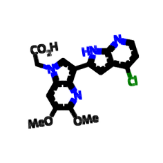 COc1cc2c(nc1OC)c(-c1cc3c(Cl)ccnc3[nH]1)cn2CC(=O)O